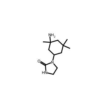 CC1(C)CC(N2CCNC2=O)CC(C)(N)C1